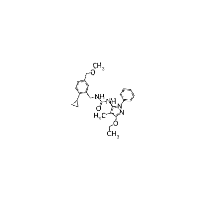 CCOc1nn(-c2ccccc2)c(NC(=O)NCc2cc(COC)ccc2C2CC2)c1C